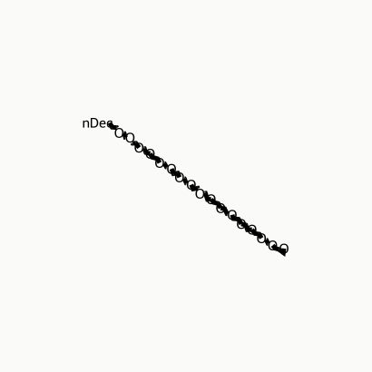 CCCCCCCCCCCCOCCOCCOCCOCCOCCOCCOCCOCCOCCOCCOCCOCCOCCOCCOCCOCC1CO1